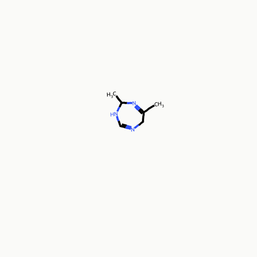 CC1=NC(C)NC=NC1